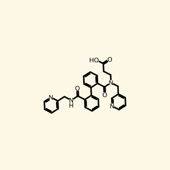 O=C(O)CCN(Cc1cccnc1)C(=O)c1ccccc1-c1ccccc1C(=O)NCc1ccccn1